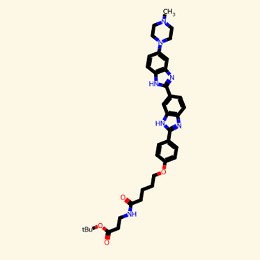 CN1CCN(c2ccc3[nH]c(-c4ccc5nc(-c6ccc(OCCCCC(=O)NCCC(=O)OC(C)(C)C)cc6)[nH]c5c4)nc3c2)CC1